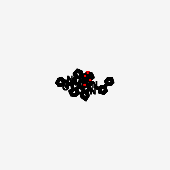 c1ccc(-c2cccc(-c3nc(-c4ccccc4-c4ccccc4-c4ccccc4-c4nc(-c5cccc(-c6ccccc6)c5)nc5c4oc4ccccc45)c4oc5ccccc5c4n3)c2)cc1